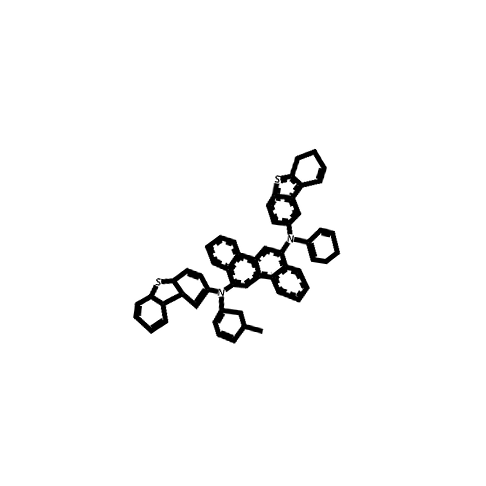 CC1C=CC=C(N(C2=CC3C(C=C2)SC2C=CC=CC23)c2cc3c4ccccc4c(N(C4=CCCC=C4)c4ccc5sc6c(c5c4)C=CCC6)cc3c3ccccc23)C1